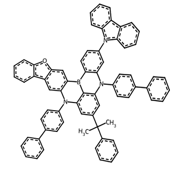 CC(C)(c1ccccc1)c1cc2c3c(c1)N(c1ccc(-c4ccccc4)cc1)c1cc4c(cc1B3c1ccc(-n3c5ccccc5c5ccccc53)cc1N2c1ccc(-c2ccccc2)cc1)oc1ccccc14